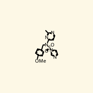 COc1ccc(CN(c2ccnc(C)n2)S(=O)(=O)n2ccnc2)cc1